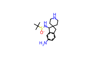 CC(C)(C)[S+]([O-])NC1c2cc(N)ccc2CC12CCNCC2